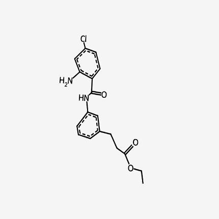 CCOC(=O)CCc1cccc(NC(=O)c2ccc(Cl)cc2N)c1